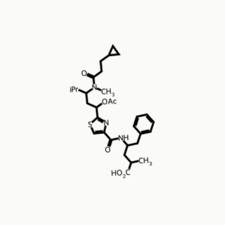 CC(=O)OC(CC(C(C)C)N(C)C(=O)CCC1CC1)c1nc(C(=O)NC(Cc2ccccc2)CC(C)C(=O)O)cs1